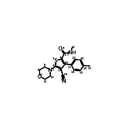 CNC(=O)c1sc(N2CCOCC2)c(C#N)c1-c1ccc(C)cc1